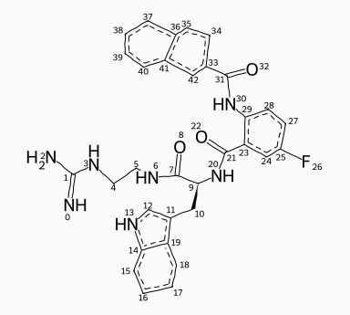 N=C(N)NCCNC(=O)[C@H](Cc1c[nH]c2ccccc12)NC(=O)c1cc(F)ccc1NC(=O)c1ccc2ccccc2c1